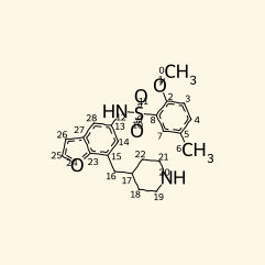 COc1ccc(C)cc1S(=O)(=O)Nc1cc(CC2CCNCC2)c2occc2c1